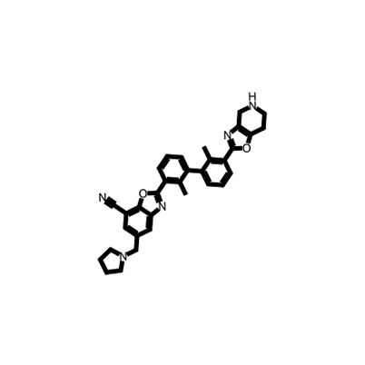 Cc1c(-c2nc3c(o2)CCNC3)cccc1-c1cccc(-c2nc3cc(CN4CCCC4)cc(C#N)c3o2)c1C